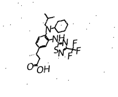 CC(C)CN(c1ccc([C@@H](C)CC(=O)O)cc1Nc1nc(C(F)(F)F)ns1)C1CCCCC1